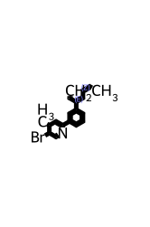 C=C/C(=C\C=C/C)c1cccc(C2=CC(C)C(Br)C=N2)c1